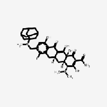 CN(C)[C@@H]1C(O)=C(C(N)=O)C(=O)[C@@]2(O)C(O)=C3C(=O)c4c(O)cc(CN(C)C56CC7CC(CC(C7)C5)C6)c(F)c4C[C@H]3C[C@@H]12